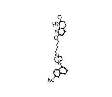 CC(=O)c1ccc2c(N3CCN(CCCCOc4ccc5c(n4)NC(=O)CC5)CC3)cccc2c1